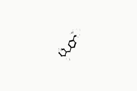 CC(C)(C)OC(=O)c1ccc(CC2C=NC=CC2=O)cc1